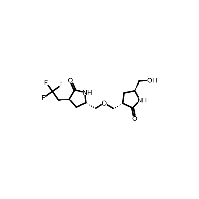 O=C1N[C@H](CO)C[C@H]1COC[C@@H]1C[C@@H](CC(F)(F)F)C(=O)N1